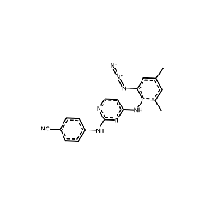 Cc1cc(C)c(Nc2ccnc(Nc3ccc(C#N)cc3)n2)c(N=[N+]=[N-])c1